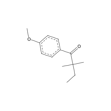 CCC(C)(C)C(=O)c1ccc(OC)cc1